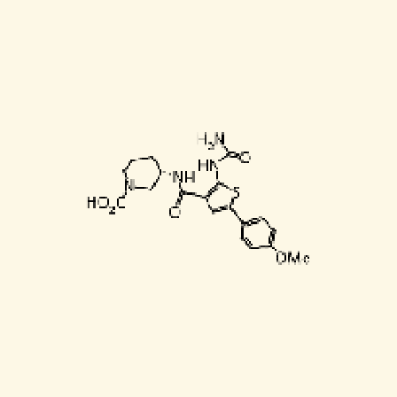 COc1ccc(-c2cc(C(=O)N[C@H]3CCCN(C(=O)O)C3)c(NC(N)=O)s2)cc1